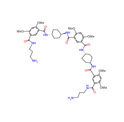 COc1cc(OC)c(C(=O)N[C@H]2CC[C@H](NC(=O)c3cc(C(=O)N[C@H]4CC[C@H](NC(=O)c5cc(C(=O)NCCCN)c(OC)cc5OC)CC4)c(OC)cc3OC)CC2)cc1C(=O)NCCCN